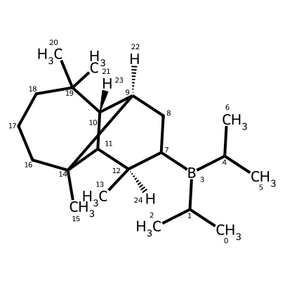 CC(C)B(C(C)C)C1C[C@@H]2[C@@H]3C([C@@H]1C)C2(C)CCCC3(C)C